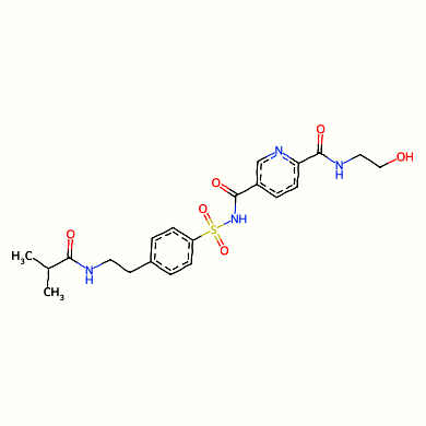 CC(C)C(=O)NCCc1ccc(S(=O)(=O)NC(=O)c2ccc(C(=O)NCCO)nc2)cc1